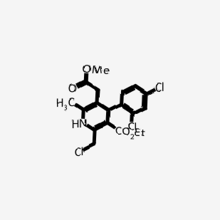 CCOC(=O)C1=C(CCl)NC(C)=C(CC(=O)OC)C1c1ccc(Cl)cc1Cl